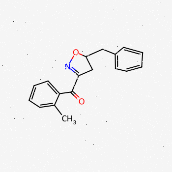 Cc1ccccc1C(=O)C1=NOC(Cc2ccccc2)C1